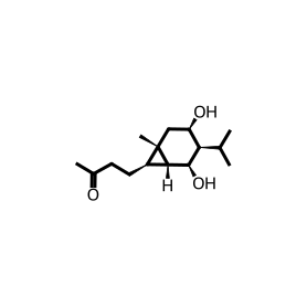 CC(=O)CC[C@@H]1[C@H]2[C@H](O)[C@H](C(C)C)[C@H](O)C[C@]21C